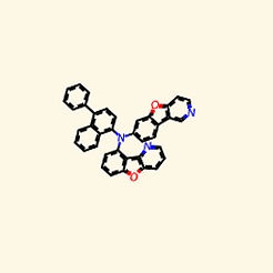 c1ccc(-c2ccc(N(c3ccc4c(c3)oc3ccncc34)c3cccc4oc5cccnc5c34)c3ccccc23)cc1